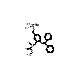 CC(C)(C)OC(=O)N(Br)Cc1cc(CO[Si](C)(C)C(C)(C)C)ccc1N=C(c1ccccc1)c1ccccc1